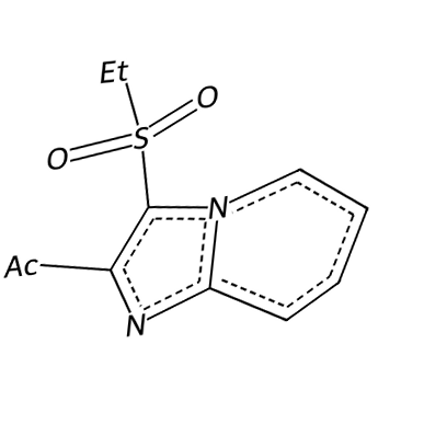 CCS(=O)(=O)c1c(C(C)=O)nc2ccccn12